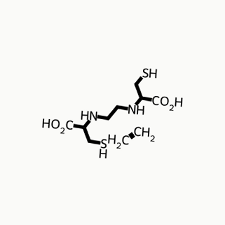 C=C.O=C(O)C(CS)NCCNC(CS)C(=O)O